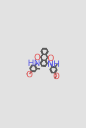 COc1ccc(Nc2ccc(Nc3ccc(OC)cc3C)c3c2C(=O)c2ccccc2C3=O)c(C)c1